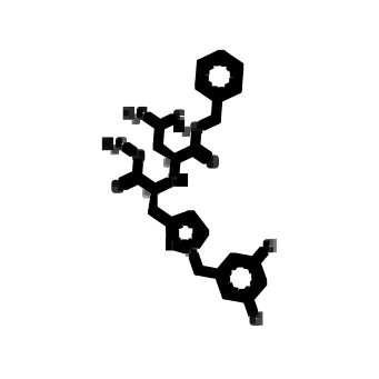 COC(=O)[C@H](Cc1ccn(Cc2cc(Cl)cc(Cl)c2)n1)N[C@@H](CC(C)C)C(=O)OCc1ccccc1